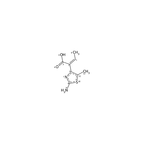 CC=C(C(=O)O)c1nc(N)sc1C